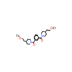 CCOCCC1CCN(C(=O)c2cccc(C(=O)N3CCC(CCOCC)CC3)c2)CC1